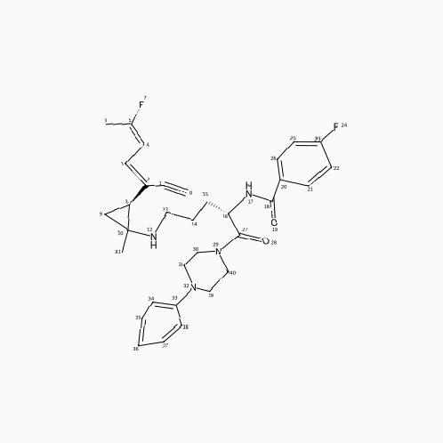 C#C/C(=C\C=C(/C)F)[C@@H]1CC1(C)NCCC[C@H](NC(=O)c1ccc(F)cc1)C(=O)N1CCN(c2ccccc2)CC1